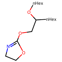 CCCCCCOC(CCCCCC)COC1=NCCO1